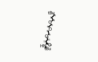 CC(C)(C)CCCOCCOCCOCCC(=O)NC(C)(C)C